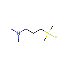 CN(C)CCCS(C)(C)F